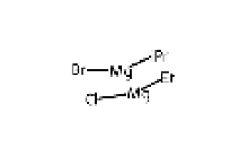 C[CH2][Mg][Cl].C[CH](C)[Mg][Br]